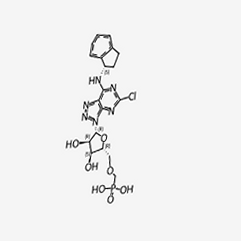 O=P(O)(O)COC[C@H]1O[C@@H](n2nnc3c(N[C@H]4CCc5ccccc54)nc(Cl)nc32)[C@H](O)[C@@H]1O